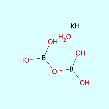 O.OB(O)OB(O)O.[KH]